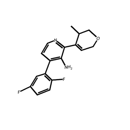 CC1COCC=C1c1nccc(-c2cc(F)ccc2F)c1N